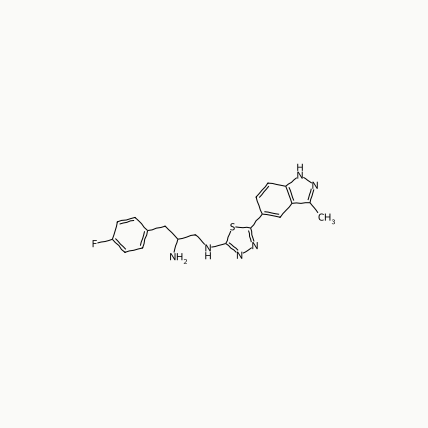 Cc1n[nH]c2ccc(-c3nnc(NCC(N)Cc4ccc(F)cc4)s3)cc12